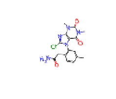 Cc1ccc(CC(N)=O)c(-n2c(Cl)nc3c2c(=O)n(C)c(=O)n3C)c1